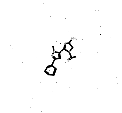 CC(=O)N1CC(N)N=C1c1cc(-c2ccccc2)nn1C